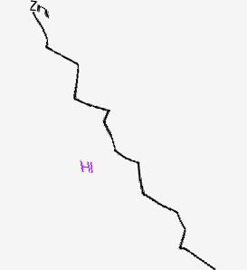 CCCCCCCCC[CH2][Zn].I